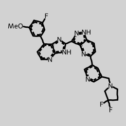 COc1cc(F)cc(-c2ccnc3[nH]c(-c4n[nH]c5ccc(-c6cncc(CN7CCC(F)(F)C7)c6)nc45)nc23)c1